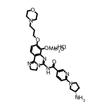 COc1c(OCCCN2CCOCC2)ccc2c1N=C(NC(=O)c1ccc(N3CC[C@H](N)C3)nc1)N1CCN=C21.Cl.O